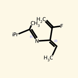 C=C(F)C(=C/C)/N=C(\C)C(C)C